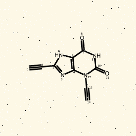 C#Cc1nc2c([nH]1)c(=O)[nH]c(=O)n2C#C